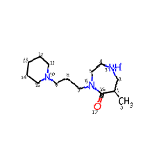 CC1CNCCN(CCCN2CCCCC2)C1=O